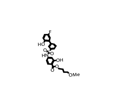 COCCCCOC(=O)c1ccc(NS(=O)(=O)c2cccc(-c3cc(F)ccc3O)c2)cc1O